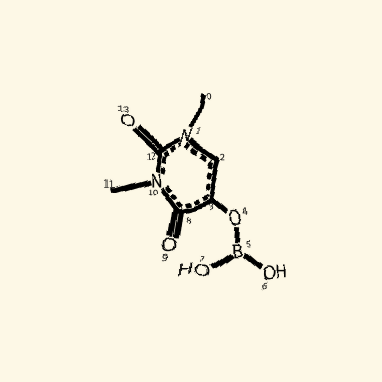 Cn1cc(OB(O)O)c(=O)n(C)c1=O